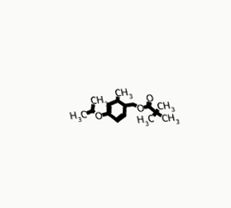 CC(C)OC1=CC(C)C(COC(=O)C(C)(C)C)C=C1